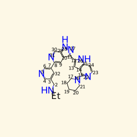 CCNCc1cncc(-c2cc3c(-c4cc5c(N6CCCCC6)nccc5[nH]4)n[nH]c3cn2)c1